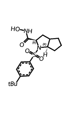 CC(C)(C)c1ccc(S(=O)(=O)N2[C@@H](C(=O)NO)CC3CCC[C@H]32)cc1